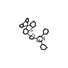 c1ccc(-c2cc(-c3ccc(-c4cccc5c4Sc4ccccc4C54c5ccccc5-c5ccccc54)o3)nc(-c3ccccc3)n2)cc1